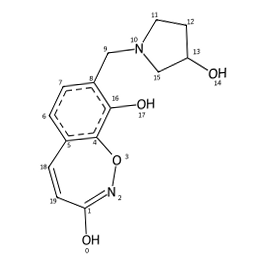 OC1=NOc2c(ccc(CN3CCC(O)C3)c2O)C=C1